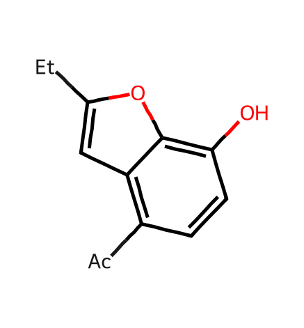 CCc1cc2c(C(C)=O)ccc(O)c2o1